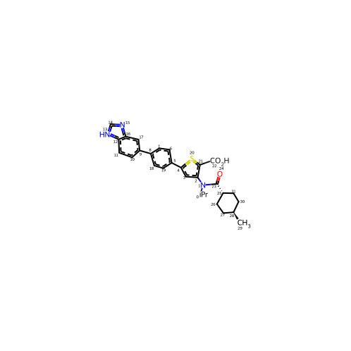 CC(C)N(c1cc(-c2ccc(-c3ccc4[nH]cnc4c3)cc2)sc1C(=O)O)C(=O)[C@H]1CC[C@H](C)CC1